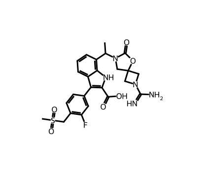 CC(c1cccc2c(-c3ccc(CS(C)(=O)=O)c(F)c3)c(C(=O)O)[nH]c12)N1CC2(CN(C(=N)N)C2)OC1=O